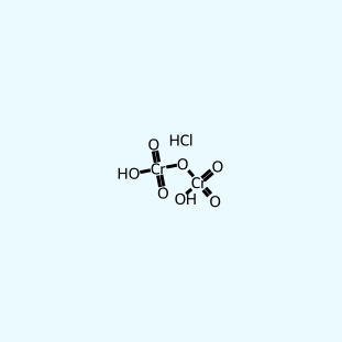 Cl.[O]=[Cr](=[O])([OH])[O][Cr](=[O])(=[O])[OH]